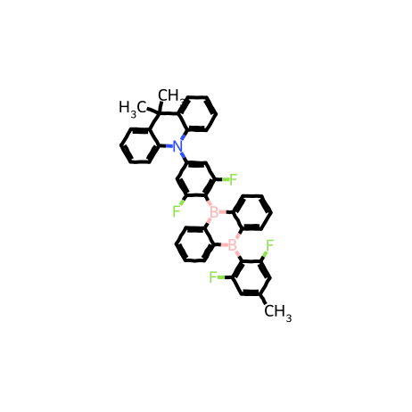 Cc1cc(F)c(B2c3ccccc3B(c3c(F)cc(N4c5ccccc5C(C)(C)c5ccccc54)cc3F)c3ccccc32)c(F)c1